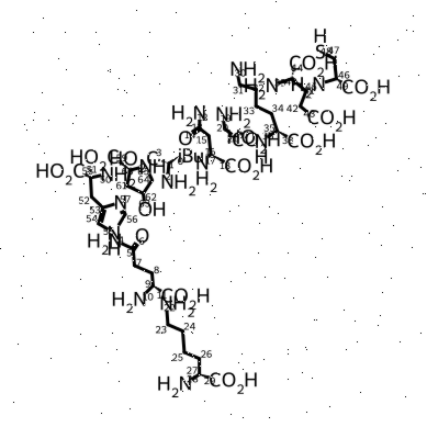 CC[C@H](C)[C@H](N)C(=O)O.NC(=O)CC[C@H](N)C(=O)O.NC(=O)C[C@H](N)C(=O)O.NCC(=O)O.NCCCC[C@H](N)C(=O)O.NCCCC[C@H](NO)C(=O)O.N[C@@H](CCC(=O)O)C(=O)O.N[C@@H](CS)C(=O)O.N[C@@H](Cc1c[nH]cn1)C(=O)O.O=C(O)[C@@H]1CC(O)CN1